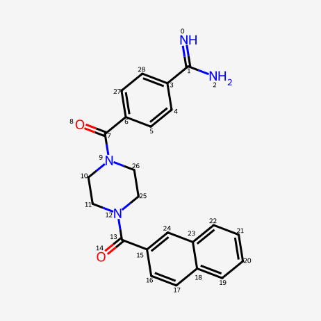 N=C(N)c1ccc(C(=O)N2CCN(C(=O)c3ccc4ccccc4c3)CC2)cc1